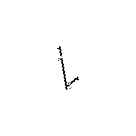 CCC(CCCCCCCCCCCCCCC(=O)OCCCCC(C)C)C(=O)OCCCCC(C)C